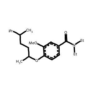 CCN(CC)C(=O)c1ccc(OC(C)CCC(C)C(C)C)c(OC)c1